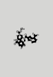 CN(C(=O)c1cc2c(C(F)F)cccn2c1)[C@H]1CN(C(=O)OC(C)(C)C)Cc2[nH]c(=O)c3cc(F)c(F)cc3c21